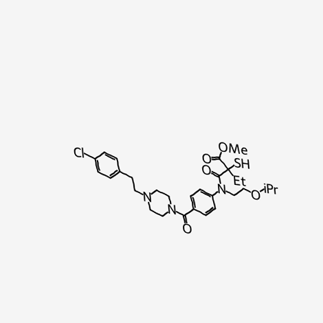 CCC(S)(C(=O)OC)C(=O)N(CCOC(C)C)c1ccc(C(=O)N2CCN(CCc3ccc(Cl)cc3)CC2)cc1